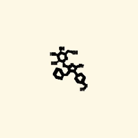 CC(C)Oc1ccc(-c2c(Cc3ccccc3)c(O[C@@H]3O[C@H](CO)[C@@H](O)[C@H](O)[C@H]3O)nn2C(C)C)cc1